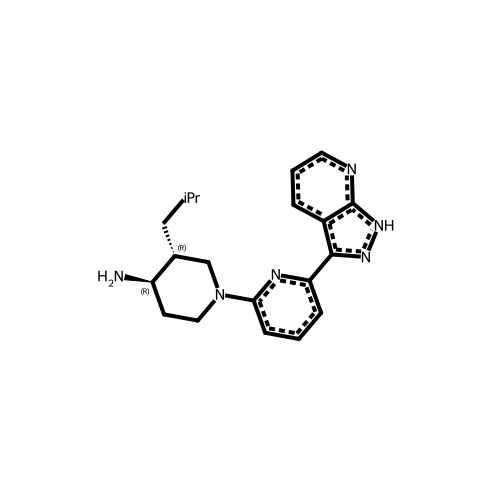 CC(C)C[C@@H]1CN(c2cccc(-c3n[nH]c4ncccc34)n2)CC[C@H]1N